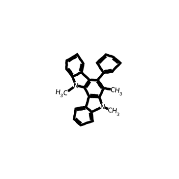 Cc1c(-c2ccccc2)c2c3ccccc3n(C)c2c2c3ccccc3n(C)c12